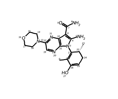 CC1=C(n2c(N)c(C(N)=O)c3nc(N4CCOCC4)cnc32)[C@H](C)CC=C1O